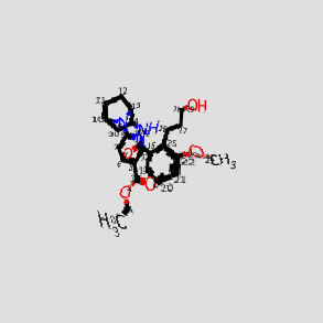 CCOC(=O)c1ccc(N2C3CCC2C(NC(=O)c2cccc(OC)c2CCCO)C3)nc1